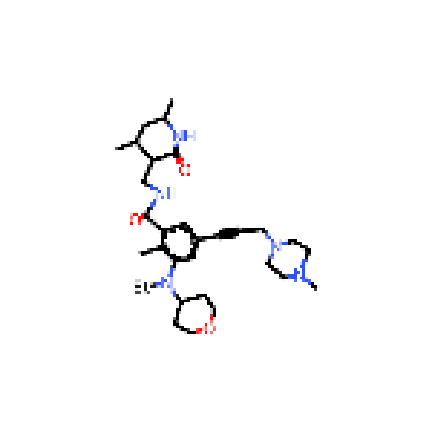 CCN(c1cc(C#CCN2CCN(C)CC2)cc(C(=O)NCC2C(=O)NC(C)CC2C)c1C)C1CCOCC1